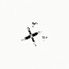 O=S(=O)([O-])[O-].[Fe+2].[Na+]